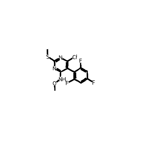 CONc1nc(SC)nc(Cl)c1-c1c(F)cc(F)cc1F